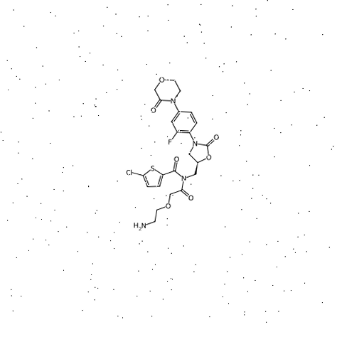 NCCOCC(=O)N(C[C@H]1CN(c2ccc(N3CCOCC3=O)cc2F)C(=O)O1)C(=O)c1ccc(Cl)s1